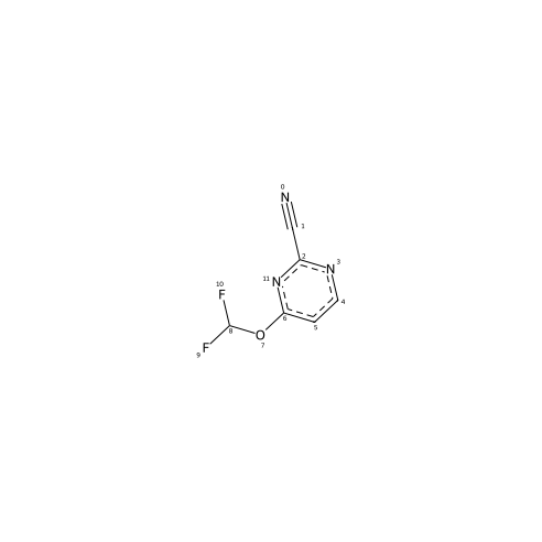 N#Cc1nccc(OC(F)F)n1